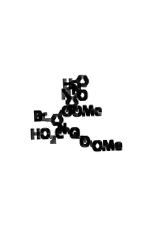 COCCOCCOCCN(C(=O)O)c1cc(CBr)cc(COc2cc3c(cc2OC)C(=O)N2c4ccccc4C[C@H]2C=N3)c1